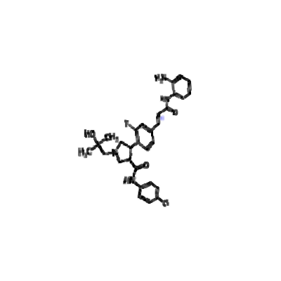 CC(C)(O)CN1CC(C(=O)Nc2ccc(Cl)cc2)C(c2ccc(/C=C/C(=O)Nc3ccccc3N)cc2F)C1